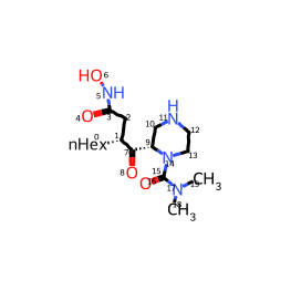 CCCCCC[C@H](CC(=O)NO)C(=O)[C@@H]1CNCCN1C(=O)N(C)C